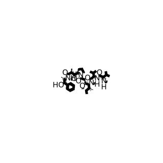 CC[C@@H](C)C([C@H](CC(=O)N1CCC[C@@H]1[C@@H](OC)[C@H](C)C(=O)N[C@@H](C)[C@H](O)c1ccccc1)OC)N(C)C(=O)[C@H](NC(=O)[C@H](NC)C(C)C)C(C)C